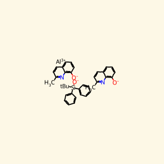 CC(C)(C)[Si]([O-])(c1ccccc1)c1ccccc1.Cc1ccc2cccc([O-])c2n1.Cc1ccc2cccc([O-])c2n1.[Al+3]